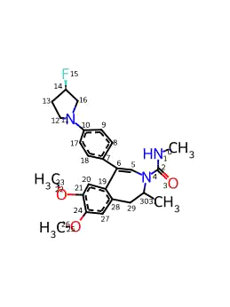 CNC(=O)N1C=C(c2ccc(N3CC[C@@H](F)C3)cc2)c2cc(OC)c(OC)cc2CC1C